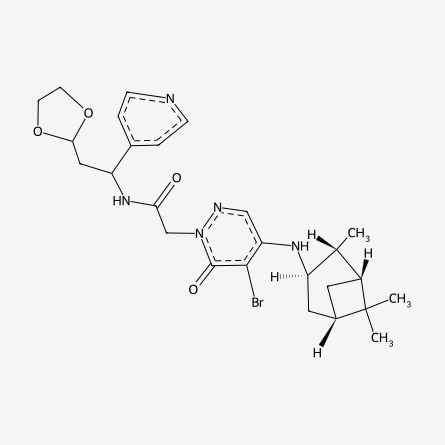 C[C@@H]1[C@H]2C[C@@H](C[C@H]1Nc1cnn(CC(=O)NC(CC3OCCO3)c3ccncc3)c(=O)c1Br)C2(C)C